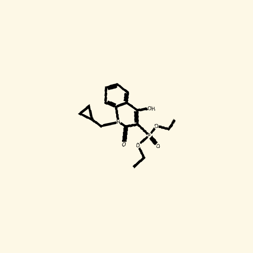 CCOP(=O)(OCC)c1c(O)c2ccccc2n(CC2CC2)c1=O